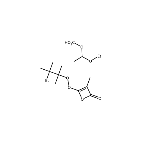 CCC(C)(C)C(C)(C)OOC1=C(C)C(=O)O1.CCOC(C)OC(=O)O